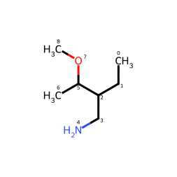 CCC(CN)C(C)OC